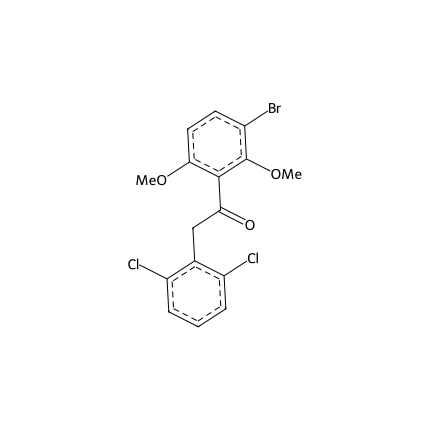 COc1ccc(Br)c(OC)c1C(=O)Cc1c(Cl)cccc1Cl